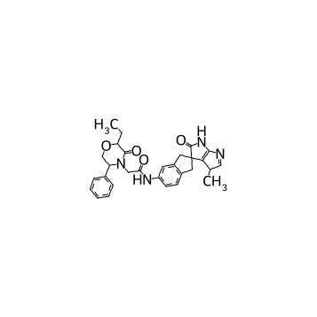 CCC1OCC(c2ccccc2)N(CC(=O)Nc2ccc3c(c2)CC2(C3)C(=O)NC3=C2C(C)C=N3)C1=O